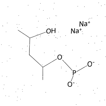 CC(O)CC(C)OP([O-])[O-].[Na+].[Na+]